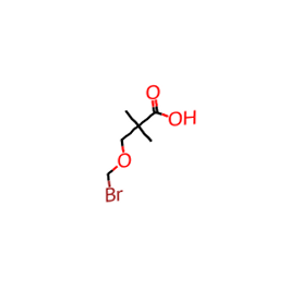 CC(C)(COCBr)C(=O)O